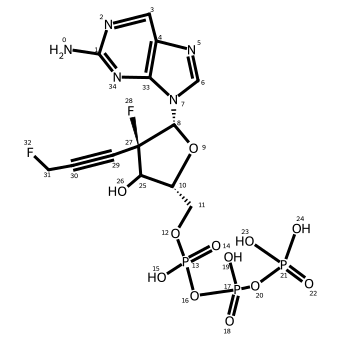 Nc1ncc2ncn([C@@H]3O[C@H](COP(=O)(O)OP(=O)(O)OP(=O)(O)O)C(O)[C@]3(F)C#CCF)c2n1